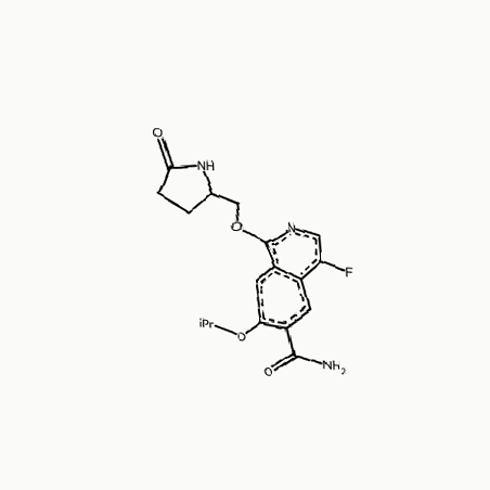 CC(C)Oc1cc2c(OCC3CCC(=O)N3)ncc(F)c2cc1C(N)=O